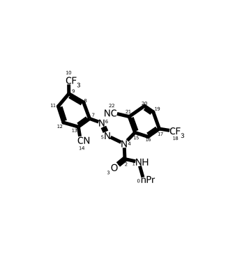 CCCNC(=O)N(N=Nc1cc(C(F)(F)F)ccc1C#N)c1cc(C(F)(F)F)ccc1C#N